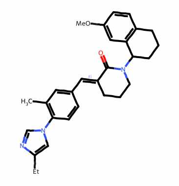 CCc1cn(-c2ccc(/C=C3\CCCN(C4CCCc5ccc(OC)cc54)C3=O)cc2C)cn1